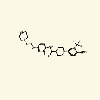 CN1C=C(OCCN2CCNCC2)C=CC1NC(=O)C1CCN(c2ccc(C#N)c(C(F)(F)F)c2)CC1